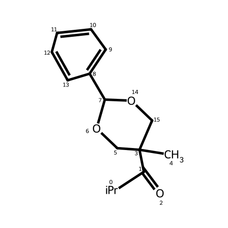 CC(C)C(=O)C1(C)COC(c2ccccc2)OC1